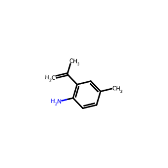 C=C(C)c1cc(C)ccc1N